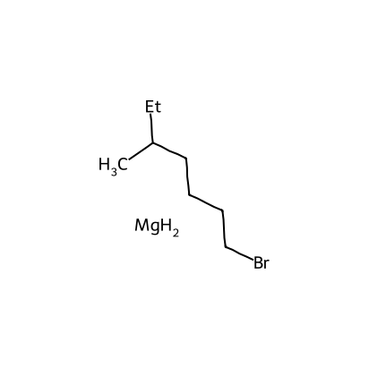 CCC(C)CCCCBr.[MgH2]